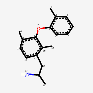 Cc1ccccc1Oc1c(C)ccc(CC(C)N)c1C